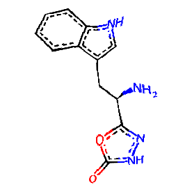 N[C@H](Cc1c[nH]c2ccccc12)c1n[nH]c(=O)o1